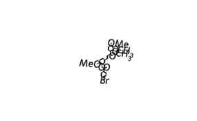 COc1ccc(C=CC(=O)c2ccc(OC)c3c2OC(C)(C)C=C3)cc1OC(=O)c1ccc(Br)cc1